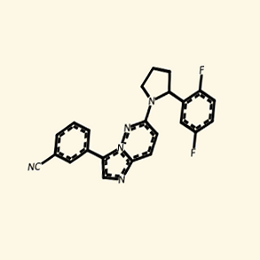 N#Cc1cccc(-c2cnc3ccc(N4CCCC4c4cc(F)ccc4F)nn23)c1